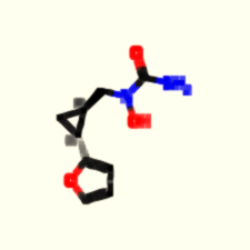 NC(=O)N(O)C[C@@H]1C[C@H]1c1ccco1